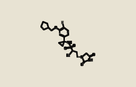 CCC(CCN1CC(=O)NC1=O)S(=O)(=O)NC1(c2ccc(F)c(OCC3CCCC3)c2)CC1